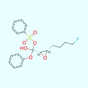 O=S(=O)(OC(O)(Oc1ccccc1)[C@H]1O[C@H]1CCCCF)c1ccccc1